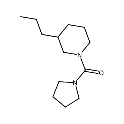 CCCC1CCCN(C(=O)N2CCCC2)C1